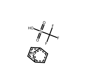 O=S(=O)(O)C(F)(F)F.c1cc2ccc1[nH]2